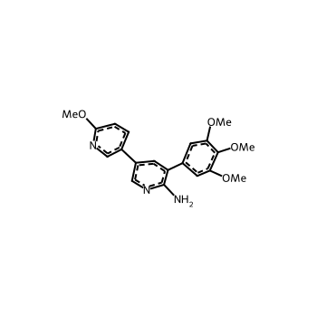 COc1ccc(-c2cnc(N)c(-c3cc(OC)c(OC)c(OC)c3)c2)cn1